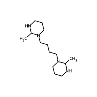 CC1NCCCN1CCCCN1CCCNC1C